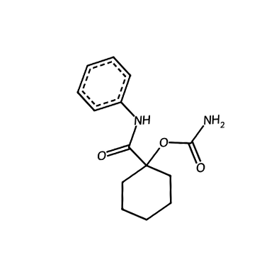 NC(=O)OC1(C(=O)Nc2ccccc2)CCCCC1